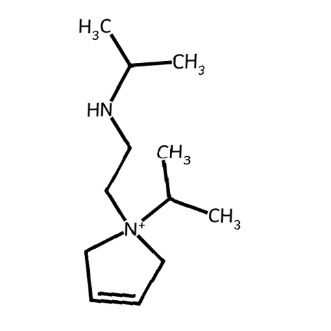 CC(C)NCC[N+]1(C(C)C)CC=CC1